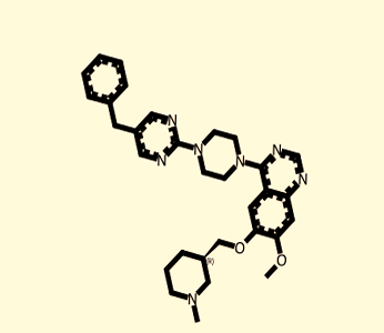 COc1cc2ncnc(N3CCN(c4ncc(Cc5ccccc5)cn4)CC3)c2cc1OC[C@@H]1CCCN(C)C1